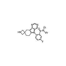 CCN(C(=O)c1cc(F)ccc1-n1c2c(c3ncncc31)CC1(CC2)CNC1)C(C)C